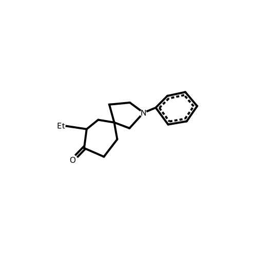 CCC1CC2(CCC1=O)CCN(c1ccccc1)C2